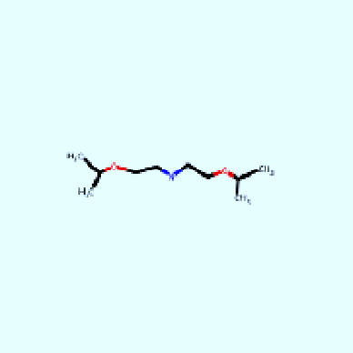 CC(C)OCC[N]CCOC(C)C